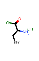 CCCCC(N)C(=O)Cl.Cl